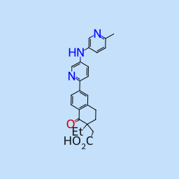 CCC1(CC(=O)O)CCc2cc(-c3ccc(Nc4ccc(C)nc4)cn3)ccc2C1=O